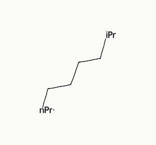 CC[CH]CCCCC(C)C